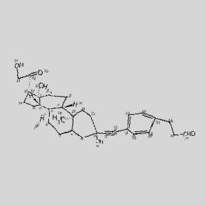 C[C@]12CC[C@H]3[C@@H](CCC4CC(O)(C#Cc5ccc(CCC=O)cc5)CC[C@@]43C)[C@@H]1CC[C@@H]2C(=O)CO